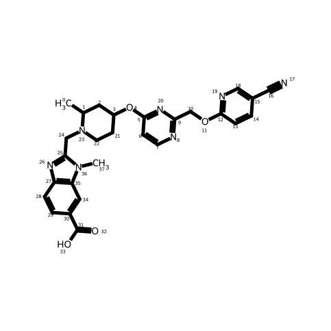 CC1CC(Oc2ccnc(COc3ccc(C#N)cn3)n2)CCN1Cc1nc2ccc(C(=O)O)cc2n1C